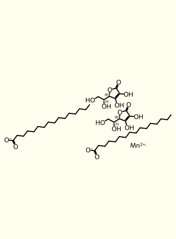 CCCCCCCCCCCCCCCC(=O)[O-].CCCCCCCCCCCCCCCC(=O)[O-].O=C1O[C@H]([C@@H](O)CO)C(O)=C1O.O=C1O[C@H]([C@@H](O)CO)C(O)=C1O.[Mn+2]